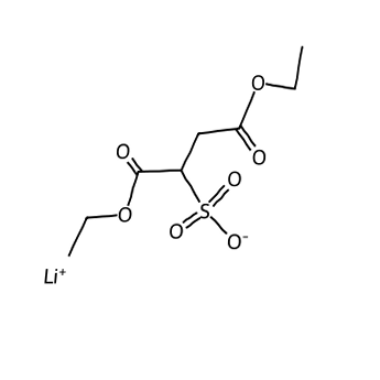 CCOC(=O)CC(C(=O)OCC)S(=O)(=O)[O-].[Li+]